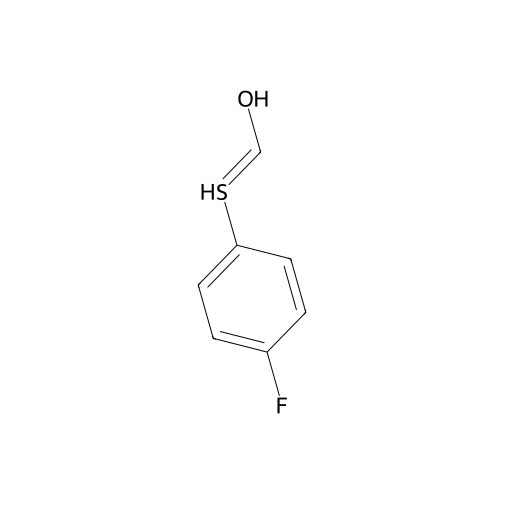 OC=[SH]c1ccc(F)cc1